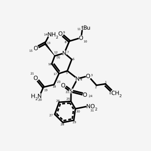 C=CCON(C1CN(C(=O)OC(C)(C)C)[C@H](C(N)=O)C=C1CC(N)=O)S(=O)(=O)c1ccccc1[N+](=O)[O-]